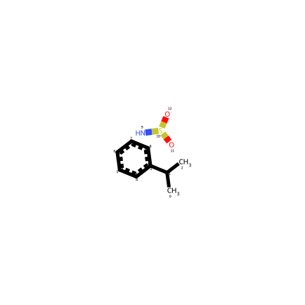 CC(C)c1ccccc1.N=S(=O)=O